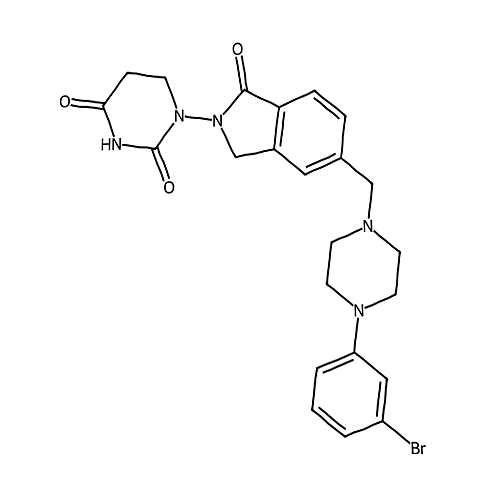 O=C1CCN(N2Cc3cc(CN4CCN(c5cccc(Br)c5)CC4)ccc3C2=O)C(=O)N1